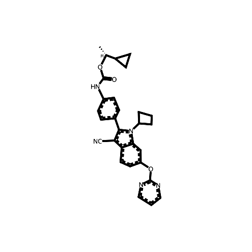 C[C@@H](OC(=O)Nc1ccc(-c2c(C#N)c3ccc(Oc4ncccn4)cc3n2C2CCC2)cc1)C1CC1